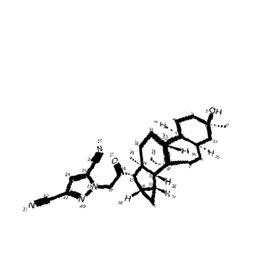 C[C@@]1(O)CC[C@H]2[C@H](CC[C@@]3(C)[C@@H]4[C@@H]5C[C@@H]5[C@H](C(=O)Cn5nc(C#N)cc5C#N)[C@@]4(C)CC[C@H]23)C1